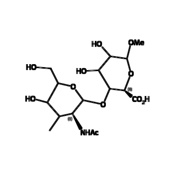 COC1O[C@@H](C(=O)O)C(OC2OC(CO)C(O)C(C)[C@@H]2NC(C)=O)C(O)C1O